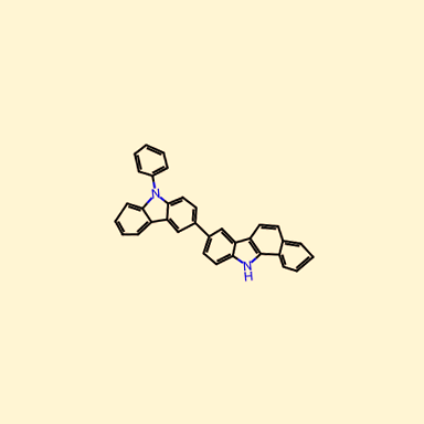 c1ccc(-n2c3ccccc3c3cc(-c4ccc5[nH]c6c7ccccc7ccc6c5c4)ccc32)cc1